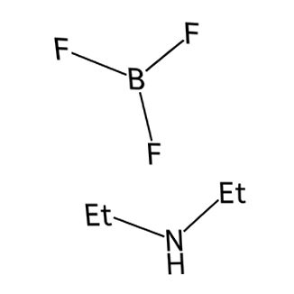 CCNCC.FB(F)F